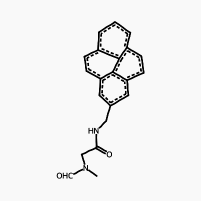 CN(C=O)CC(=O)NCc1cc2ccc3cccc4ccc(c1)c2c34